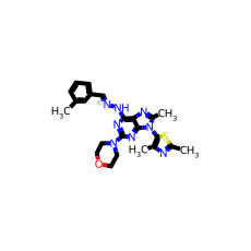 Cc1cccc(/C=N/Nc2nc(N3CCOCC3)nc3c2nc(C)n3-c2sc(C)nc2C)c1